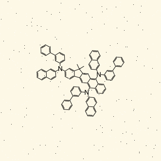 CC1(C)c2cc(N(c3cccc(-c4ccccc4)c3)c3ccc4ccccc4c3)ccc2-c2cc3c(N(c4cccc(-c5ccccc5)c4)c4ccc5ccccc5c4)c4ccccc4c(N(c4cccc(-c5ccccc5)c4)c4ccc5ccccc5c4)c3cc21